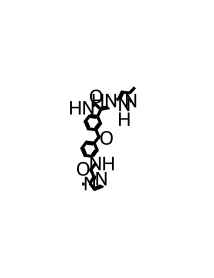 Cc1cc(N/C=C2\C(=O)Nc3ccc(C(=O)c4cccc(NC(=O)c5nccn5C)c4)cc32)[nH]n1